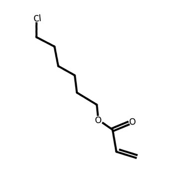 C=CC(=O)OCCCCCCCl